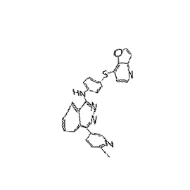 Cc1ccc(-c2nnc(Nc3ccc(Sc4ccnc5ccoc45)cc3)c3ccccc23)cn1